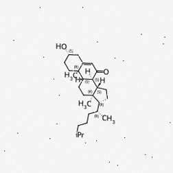 CC(C)CCC[C@@H](C)[C@H]1CC[C@H]2[C@@H]3C(=O)C=C4C[C@@H](O)CC[C@]4(C)[C@H]3CC[C@]12C